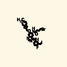 CN1CCC2(CC1)CC(COc1cc3ncnc(Nc4ccc(F)c(CI)c4)c3cc1NC(=O)/C=C/CBr)C2